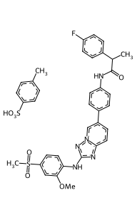 COc1cc(S(C)(=O)=O)ccc1Nc1nc2ccc(-c3ccc(NC(=O)C(C)c4ccc(F)cc4)cc3)cn2n1.Cc1ccc(S(=O)(=O)O)cc1